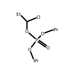 CCC(Cl)OP(=O)(OC(C)C)OC(C)C